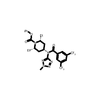 CC[C@@H]1C[C@H](N(C(=O)c2cc(C(F)(F)F)cc(C(F)(F)F)c2)c2nnn(C)n2)C[C@H](CC)N1C(=O)OC(C)C